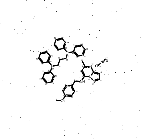 COc1ccc(CNc2cc(C)nc3ccnn23)cc1.[Cl][Ni][Cl].c1ccc(P(CCCP(c2ccccc2)c2ccccc2)c2ccccc2)cc1